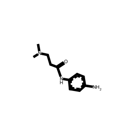 CN(C)CCC(=O)Nc1ccc(N)cc1